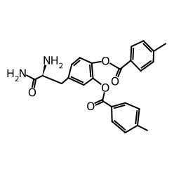 Cc1ccc(C(=O)Oc2ccc(C[C@H](N)C(N)=O)cc2OC(=O)c2ccc(C)cc2)cc1